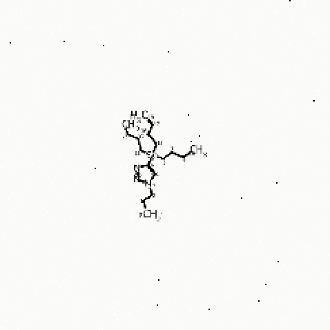 [CH2]CCn1c[c]([Sn]([CH2]CCC)([CH2]CCC)[CH2]CCC)nn1